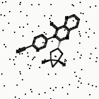 N#Cc1ccc(-n2c([C@@H]3C[C@@H]4C[C@@H]4C3)nc3cccnc3c2=O)cn1